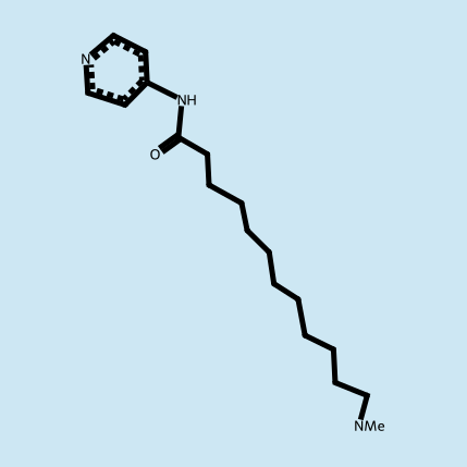 CNCCCCCCCCCCCC(=O)Nc1ccncc1